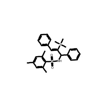 Cc1cc(C)c(S(=O)(=O)NC(C(=Cc2ccccc2)[Si](C)(C)C)c2ccccc2)c(C)c1